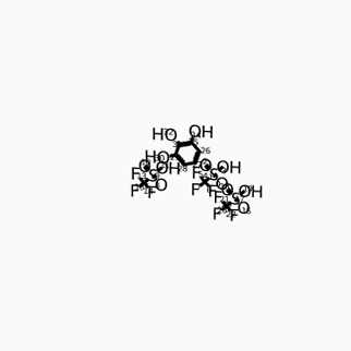 O=S(=O)(O)C(F)(F)F.O=S(=O)(O)C(F)(F)F.O=S(=O)(O)C(F)(F)F.Oc1cccc(O)c1O